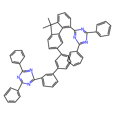 CC1(C)c2ccc(-c3cccc(-c4cccc(-c5nc(-c6ccccc6)nc(-c6ccccc6)n5)c4)c3)cc2-c2c(-c3nc(-c4ccccc4)nc(-c4ccccc4)n3)cccc21